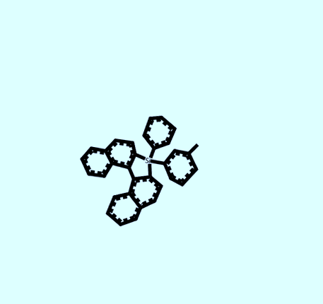 Cc1cccc([Si]2(c3ccccc3)c3ccc4ccccc4c3-c3c2ccc2ccccc32)c1